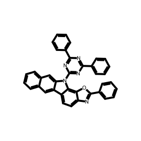 c1ccc(-c2nc(-c3ccccc3)nc(-n3c4cc5ccccc5cc4c4ccc5nc(-c6ccccc6)oc5c43)n2)cc1